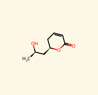 C[C@@H](O)C[C@H]1CC=CC(=O)O1